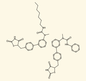 CCCCCCCNC(=O)N(C)c1cccc(-c2ccc(CC3SC(=O)NC3=O)cc2)c1.CN(C(=O)Nc1ccccc1)c1cccc(-c2ccc(CC3SC(=O)NC3=O)cc2)c1